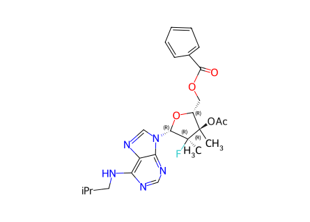 CC(=O)O[C@]1(C)[C@@H](COC(=O)c2ccccc2)O[C@@H](n2cnc3c(NCC(C)C)ncnc32)[C@]1(C)F